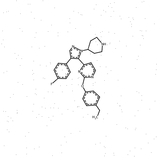 CCc1ccc(Oc2nccc(-c3c(-c4ccc(F)cc4)cnn3C3CCNCC3)n2)cc1